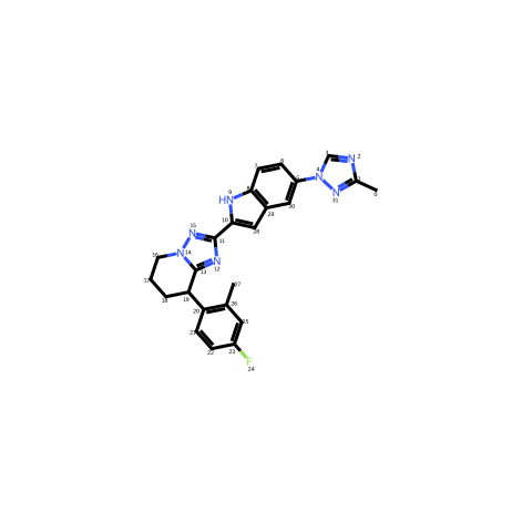 Cc1ncn(-c2ccc3[nH]c(-c4nc5n(n4)CCCC5c4ccc(F)cc4C)cc3c2)n1